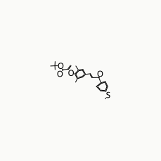 C=C(Oc1c(C)cc(/C=C/C(=O)c2ccc(SC)cc2)cc1C)C(=O)OC(C)(C)C